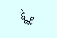 CCOC(=O)Cc1ccc(-c2ccc3oc(Br)c(-c4ccccc4)c3c2)cc1